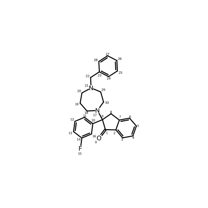 O=C1c2ccccc2CC1(c1cccc(F)c1)N1CCCN(Cc2ccccc2)CC1